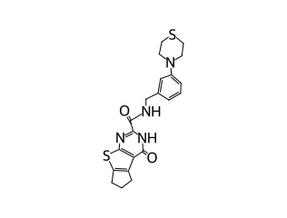 O=C(NCc1cccc(N2CCSCC2)c1)c1nc2sc3c(c2c(=O)[nH]1)CCC3